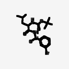 CC(C)CC(NC(=O)OC(C)(C)C)C(=O)N[S+]([O-])c1cccc(Br)c1